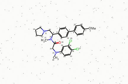 COc1ccc(-c2ccc(C(CN3CCCC3)N(C)C(=O)CN(C)c3ccc(Cl)c(Cl)c3)cc2)cc1